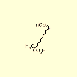 CCCCCCCC/C=C\CCCCCCCCC(C)C(=O)O